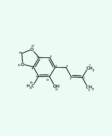 CC(C)=CCc1cc2c(c(C)c1O)OCO2